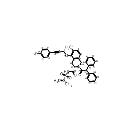 Cc1ccc2c(c1OCC#Cc1ccc(F)cc1)C[C@@H](C(=O)NS(=O)(=O)N(C)C)N(C(=O)C(c1ccccc1)c1ccccc1)C2